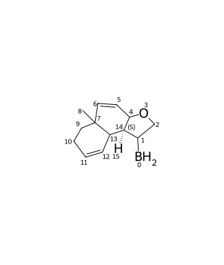 BC1COC2C=CC3(C)CCC=CC3[C@H]12